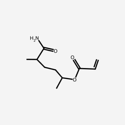 C=CC(=O)OC(C)CCC(C)C(N)=O